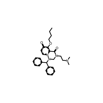 CCCCOc1c2n(ccc1=O)N(C(c1ccccc1)c1ccccc1)CN(CCN(C)C)C2=O